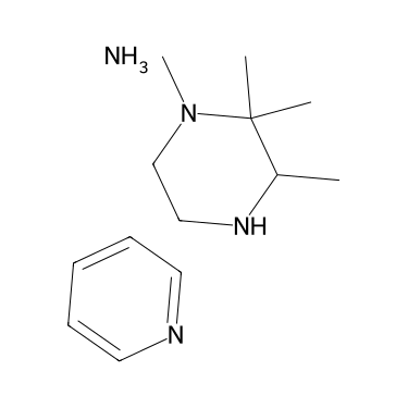 CC1NCCN(C)C1(C)C.N.c1ccncc1